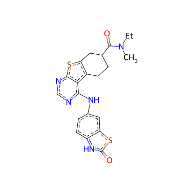 CCN(C)C(=O)C1CCc2c(sc3ncnc(Nc4ccc5[nH]c(=O)sc5c4)c23)C1